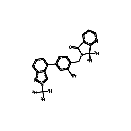 [2H]C1([2H])c2ncccc2C(=O)N1Cc1ccc(-c2cccc3nn(C([2H])([2H])[2H])cc23)cc1C(C)C